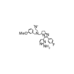 COc1cccc(CN(CCN(C)C)CC2CCc3nc(-c4ccc(F)cc4)c(-c4ccnc(N)n4)n32)c1